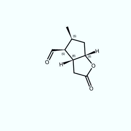 C[C@H]1C[C@@H]2OC(=O)C[C@@H]2[C@H]1C=O